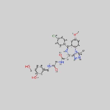 COc1ccc2c(c1)C(c1ccc(Cl)cc1)=N[C@@H](CC(=O)NCC(=O)NCc1ccc(CO)c(O)c1)c1nnc(C)n1-2